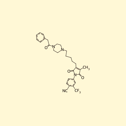 CC1=C(CCCCCN2CCN(C(=O)Cc3ccccc3)CC2)C(=O)N(c2ccc(C#N)c(C(F)(F)F)c2)C1=O